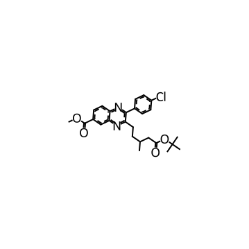 COC(=O)c1ccc2nc(-c3ccc(Cl)cc3)c(CCC(C)CC(=O)OC(C)(C)C)nc2c1